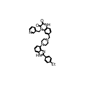 CCc1ccc(-c2nc3c(N4CCN(Cc5ccc6[nH]c(=O)c(=O)n(Cc7cccnc7)c6c5)CC4)cccc3[nH]2)cc1